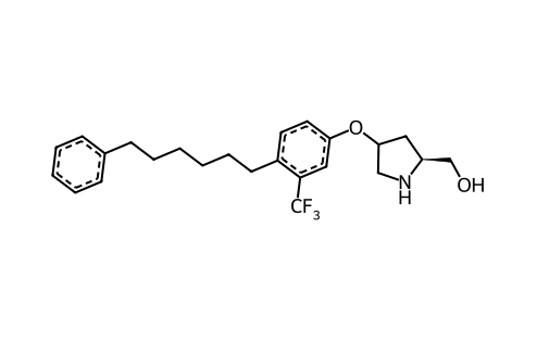 OC[C@@H]1CC(Oc2ccc(CCCCCCc3ccccc3)c(C(F)(F)F)c2)CN1